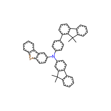 CC1(C)c2ccccc2-c2ccc(N(c3ccc(-c4cccc5c4C(C)(C)c4ccccc4-5)cc3)c3ccc4sc5ccccc5c4c3)cc21